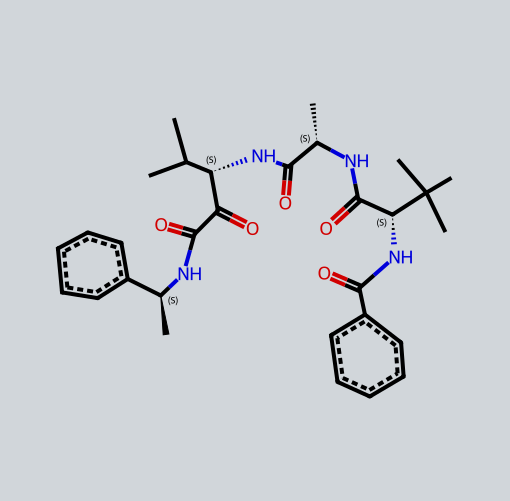 CC(C)[C@H](NC(=O)[C@H](C)NC(=O)[C@@H](NC(=O)c1ccccc1)C(C)(C)C)C(=O)C(=O)N[C@@H](C)c1ccccc1